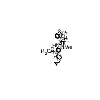 C=CC(=O)Nc1cc(Nc2ncc(Cl)c(Nc3ccccc3S(=O)(=O)C(C)C)n2)c(OC)cc1N1CCN(CC2CC2)CC1